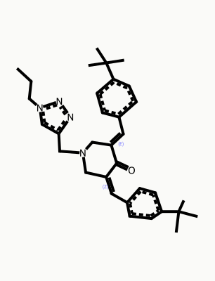 CCCn1cc(CN2C/C(=C/c3ccc(C(C)(C)C)cc3)C(=O)/C(=C/c3ccc(C(C)(C)C)cc3)C2)nn1